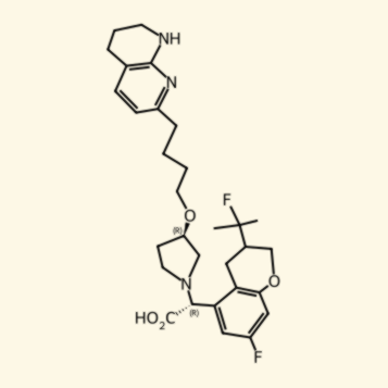 CC(C)(F)C1COc2cc(F)cc([C@H](C(=O)O)N3CC[C@@H](OCCCCc4ccc5c(n4)NCCC5)C3)c2C1